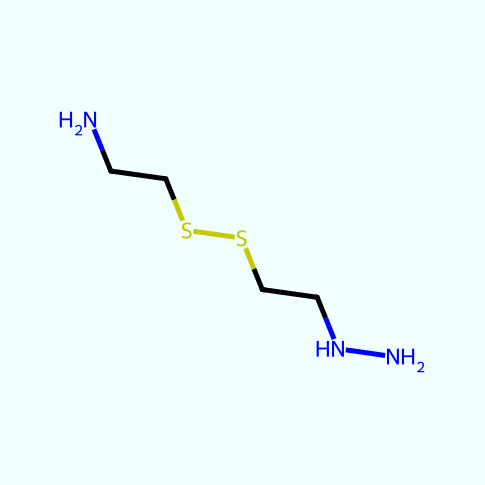 NCCSSCCNN